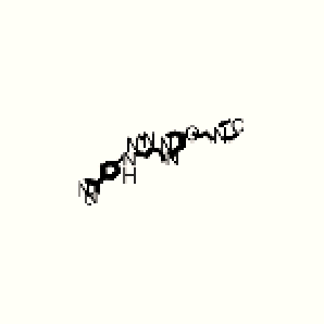 Cn1cc(-c2ccc(CNc3cc(-c4cnc5cc(OCCCN6CCOCC6)ccn45)ncn3)cc2)cn1